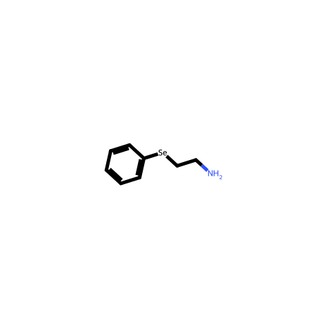 NCC[Se]c1ccccc1